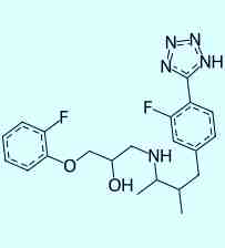 CC(Cc1ccc(-c2nnn[nH]2)c(F)c1)C(C)NCC(O)COc1ccccc1F